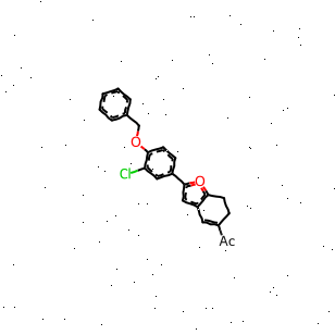 CC(=O)C1=Cc2cc(-c3ccc(OCc4ccccc4)c(Cl)c3)oc2CC1